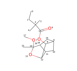 CCC(C)(C)C(=O)OC1C2CC3C1OC(C)(OC)C3C2